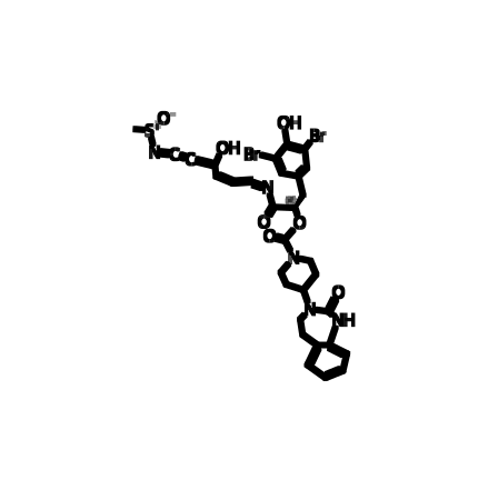 C[S+]([O-])N=C=C=C(O)C=C=C=NC(=O)[C@@H](Cc1cc(Br)c(O)c(Br)c1)OC(=O)N1CCC(N2CCc3ccccc3NC2=O)CC1